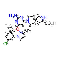 CC(C)c1ccn(-c2cc(Cl)ccc2C(Oc2cc(N3CCC4(CC3)CN[C@H](C(=O)O)C4)nc(N)n2)C(F)(F)F)n1